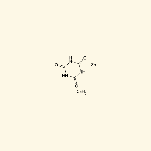 O=c1[nH]c(=O)[nH]c(=O)[nH]1.[CaH2].[Zn]